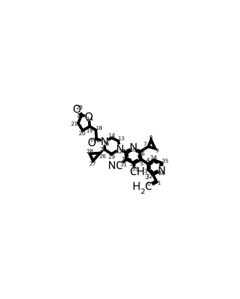 C=Cc1cc(-c2c(C3CC3)nc(N3CCN(C(=O)CC4CCC(=O)O4)[C@H](C4CC4)C3)c(C#N)c2C)ccn1